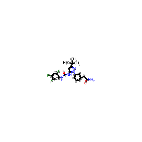 CC(C)(C)c1cc(NC(=O)Nc2cc(F)c(F)cc2F)n(-c2cccc(CC(N)=O)c2)n1